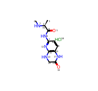 CN[C@@H](C)C(=O)Nc1ccc2c(n1)NCC(=O)N2.Cl